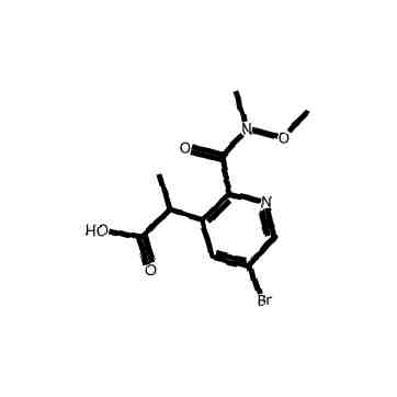 CON(C)C(=O)c1ncc(Br)cc1C(C)C(=O)O